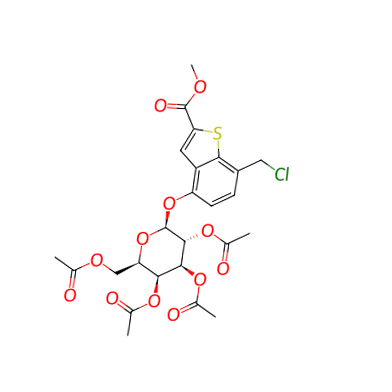 COC(=O)c1cc2c(O[C@@H]3O[C@H](COC(C)=O)[C@H](OC(C)=O)[C@H](OC(C)=O)[C@H]3OC(C)=O)ccc(CCl)c2s1